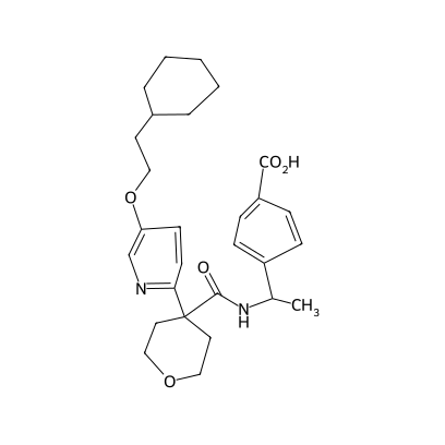 CC(NC(=O)C1(c2ccc(OCCC3CCCCC3)cn2)CCOCC1)c1ccc(C(=O)O)cc1